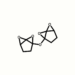 C1CC2(OC34CCC5OC53O4)OC23OC13